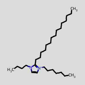 CCCCCCCCCCCCCCCc1n(CCCC)cc[n+]1CCCCCCC